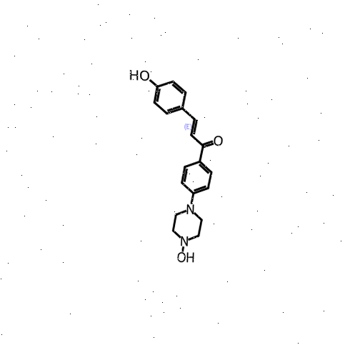 O=C(/C=C/c1ccc(O)cc1)c1ccc(N2CCN(O)CC2)cc1